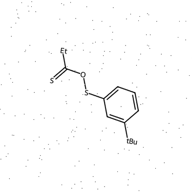 CCC(=S)OSc1cccc(C(C)(C)C)c1